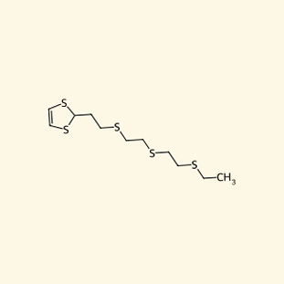 CCSCCSCCSCCC1SC=CS1